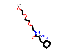 CCOCCOCCOCCNC(=O)[C@H](N)Cc1ccccc1